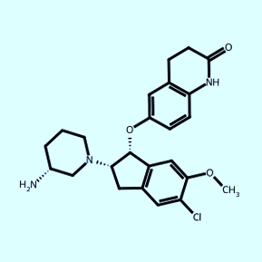 COc1cc2c(cc1Cl)C[C@H](N1CCC[C@@H](N)C1)[C@@H]2Oc1ccc2c(c1)CCC(=O)N2